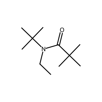 CCN(C(=O)C(C)(C)C)C(C)(C)C